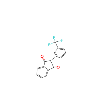 O=C1c2ccccc2C(=O)C1c1cccc(C(F)(F)F)c1